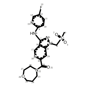 CS(=O)(=O)Cn1nc(Nc2ccc(F)cn2)c2cnc(C(=O)N3CCCOCC3)cc21